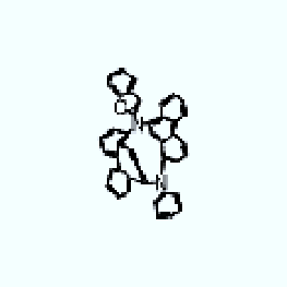 c1ccc(-n2c3cccc4c5ccccc5c(cc43)n(-c3cc4ccccc4o3)c3cccc4c5ccccc5c2cc43)cc1